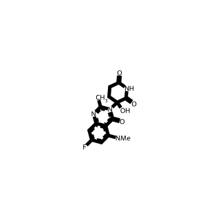 CNc1cc(F)cc2nc(C)n(C3(O)CCC(=O)NC3=O)c(=O)c12